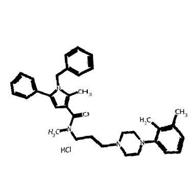 Cc1cccc(N2CCN(CCCN(C)C(=O)c3cc(-c4ccccc4)n(Cc4ccccc4)c3C)CC2)c1C.Cl